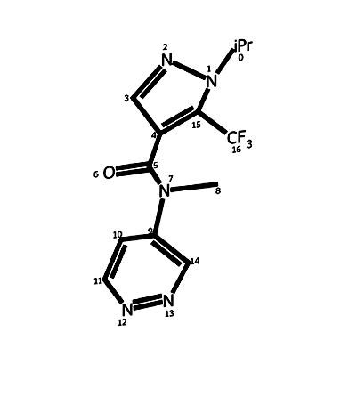 CC(C)n1ncc(C(=O)N(C)c2ccnnc2)c1C(F)(F)F